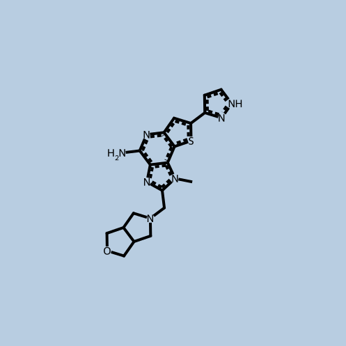 Cn1c(CN2CC3COCC3C2)nc2c(N)nc3cc(-c4cc[nH]n4)sc3c21